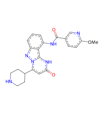 COc1ccc(C(=O)Nc2cccc3nn4c(C5CCNCC5)cc(=O)[nH]c4c23)cn1